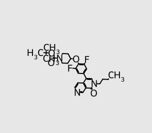 CCCCn1cc(-c2cc(F)c(OC3CCN(C(=O)OC(C)(C)C)CC3)c(F)c2)c2ccncc2c1=O